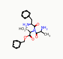 CC(N)C(=O)N(C(=O)C(N)Cc1ccccc1)C(C(=O)O)C(=O)OCc1ccccc1